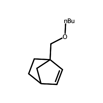 CCCCOCC12C=CC(CC1)C2